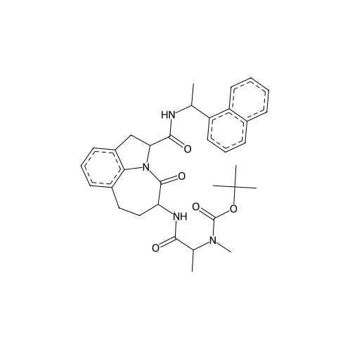 CC(NC(=O)C1Cc2cccc3c2N1C(=O)C(NC(=O)C(C)N(C)C(=O)OC(C)(C)C)CC3)c1cccc2ccccc12